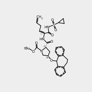 C=CC/C=C(/NC(=O)[C@@H]1C[C@@H](OC2c3ccccc3CCc3ccccc32)CN1C(=O)OC(C)(C)C)C(=O)NS(=O)(=O)C1CC1